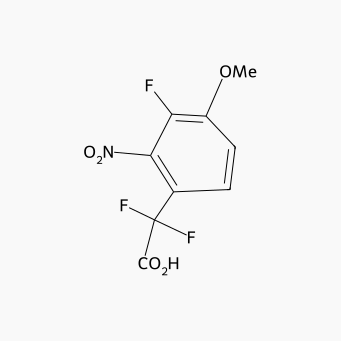 COc1ccc(C(F)(F)C(=O)O)c([N+](=O)[O-])c1F